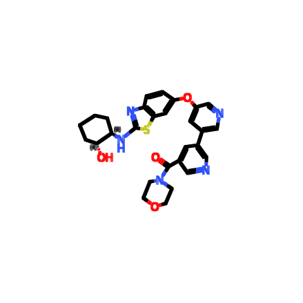 O=C(c1cncc(-c2cncc(Oc3ccc4nc(N[C@@H]5CCCC[C@H]5O)sc4c3)c2)c1)N1CCOCC1